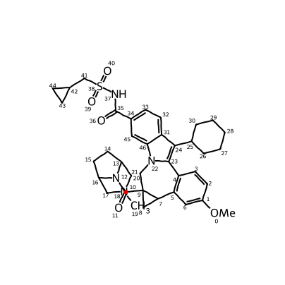 COc1ccc2c(c1)C1CC1(C(=O)N1C3CCC1CN(C)C3)Cn1c-2c(C2CCCCC2)c2ccc(C(=O)NS(=O)(=O)CC3CC3)cc21